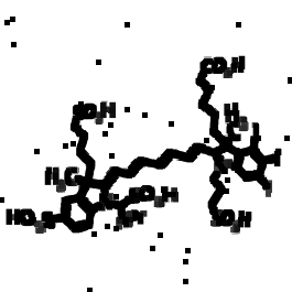 CCCC(N1\C(=C/C=C/C=C/C=C/C2=[N+](CCCS(=O)(=O)O)c3cc(I)c(I)c(I)c3C2(C)CCCCCC(=O)O)C(C)(CCCCS(=O)(=O)O)c2cc(S(=O)(=O)O)ccc21)S(=O)(=O)O